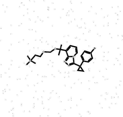 CC(C)(OCOCC[Si](C)(C)C)c1cccn2c(C3(c4ccc(Br)cc4)CC3)nnc12